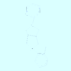 Cc1ccccc1C1(O)CC2CN(c3ccccn3)CC2C1